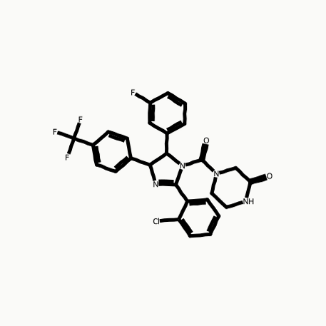 O=C1CN(C(=O)N2C(c3ccccc3Cl)=NC(c3ccc(C(F)(F)F)cc3)C2c2cccc(F)c2)CCN1